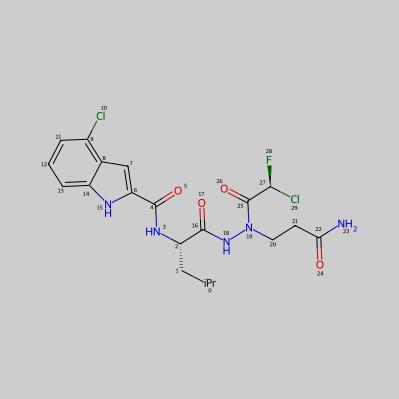 CC(C)C[C@H](NC(=O)c1cc2c(Cl)cccc2[nH]1)C(=O)NN(CCC(N)=O)C(=O)[C@@H](F)Cl